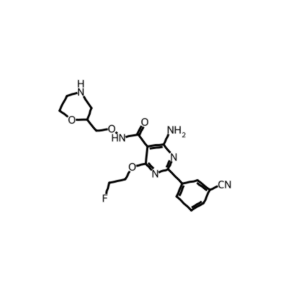 N#Cc1cccc(-c2nc(N)c(C(=O)NOCC3CNCCO3)c(OCCF)n2)c1